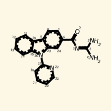 NC(N)=NC(=O)c1ccc2c3ccccc3n(-c3ccccn3)c2c1